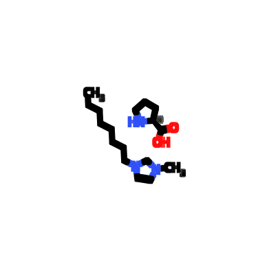 CCCCCCCCN1C=CN(C)C1.O=C(O)[C@@H]1CCCN1